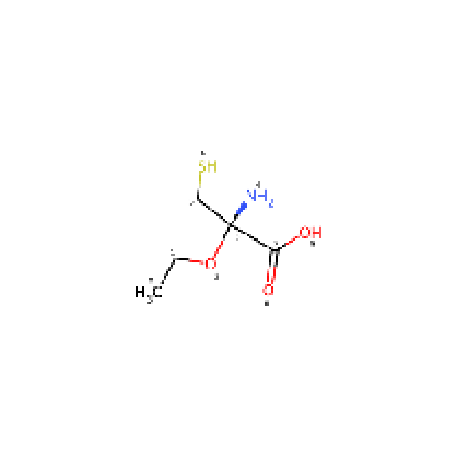 CCO[C@](N)(CS)C(=O)O